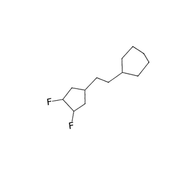 FC1CC(CCC2CCCCC2)CC1F